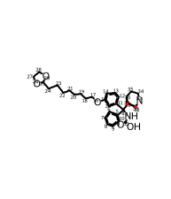 O=C(O)NC(c1ccccc1)(c1cccc(OCCCCCCCCC2OCCO2)c1)C1CN2CCC1CC2